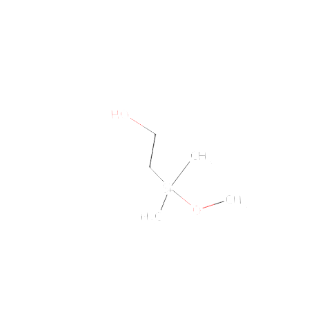 CO[Si](C)(C)CCO